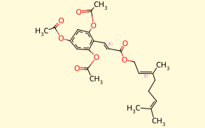 CC(=O)Oc1cc(OC(C)=O)c(/C=C/C(=O)OC/C=C(\C)CCC=C(C)C)c(OC(C)=O)c1